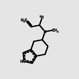 [2H]C(C=C)N(C)C1CCc2c[nH]cc2C1